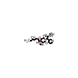 C=C/C(C)=C/Cc1ccc(C(C)N(C(=O)c2c[nH]cn2)C(C(=O)NC(C)(C)C)c2cccnc2)o1